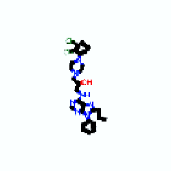 CCCc1nc2c(NCC(O)CN3CCN(c4cccc(Cl)c4Cl)CC3)ncnc2n1-c1ccccc1